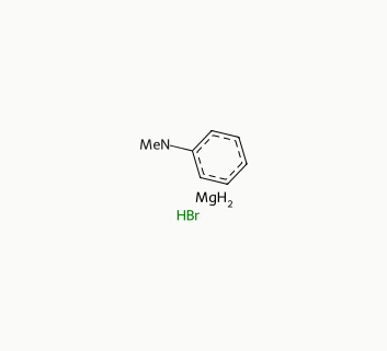 Br.CNc1ccccc1.[MgH2]